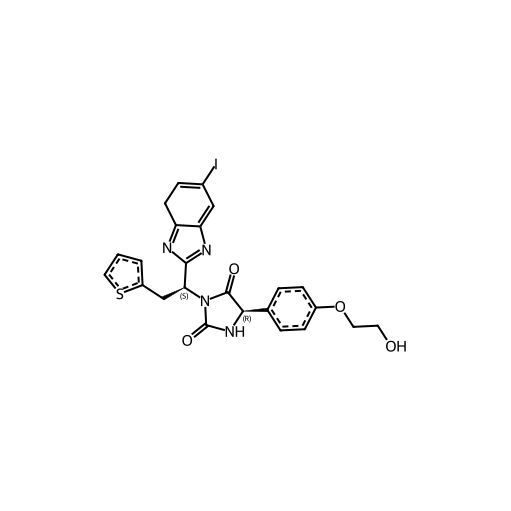 O=C1N[C@H](c2ccc(OCCO)cc2)C(=O)N1[C@@H](Cc1cccs1)C1=NC2=CC(I)=CCC2=N1